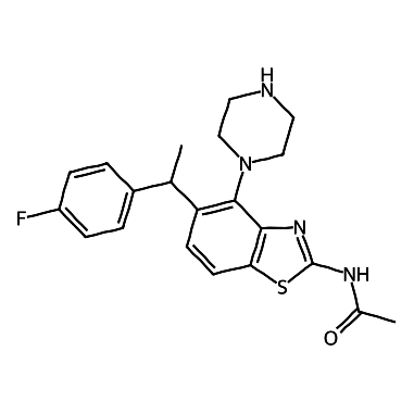 CC(=O)Nc1nc2c(N3CCNCC3)c(C(C)c3ccc(F)cc3)ccc2s1